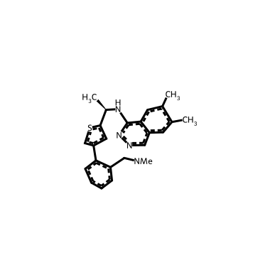 CNCc1ccccc1-c1csc([C@@H](C)Nc2nncc3cc(C)c(C)cc23)c1